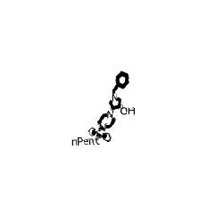 CCCCCS(=O)(=O)N1CCN([C@@H]2CN(Cc3ccccc3)C[C@H]2O)CC1